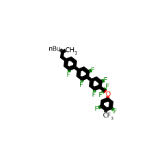 CCCCC(C)Cc1ccc(-c2cc(F)c(-c3cc(F)c(C(F)(F)Oc4cc(F)c(C(F)(F)F)c(F)c4)c(F)c3)c(F)c2)c(F)c1